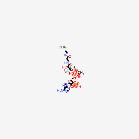 C=O.CC(C)(COP(=O)(O)OP(=O)(O)OC[C@H]1O[C@@H](n2cnc3c(N)ncnc32)[C@H](O)[C@@H]1OP(=O)(O)O)C(O)C(=O)NCCC(=O)NCCSC=O